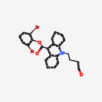 O=C=CCC[n+]1c2ccccc2c(C(=O)Oc2c(Br)cccc2Br)c2ccccc21